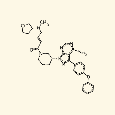 CN(C/C=C/C(=O)N1CCC[C@@H](n2nc(-c3ccc(Oc4ccccc4)cc3)c3c(N)ncnc32)C1)[C@@H]1CCOC1